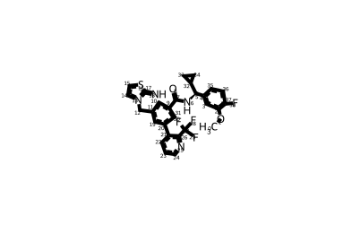 COc1cc([C@@H](NC(=O)c2cc(Cn3ccsc3=N)cc(-c3cccnc3C(F)(F)F)c2)C2CC2)ccc1F